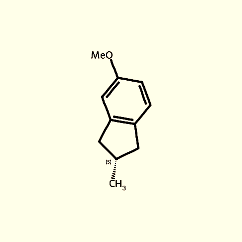 COc1ccc2c(c1)C[C@@H](C)C2